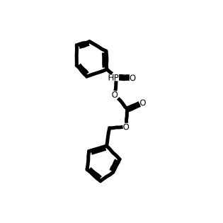 O=C(OCc1ccccc1)O[PH](=O)c1ccccc1